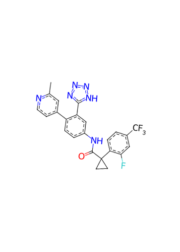 Cc1cc(-c2ccc(NC(=O)C3(c4ccc(C(F)(F)F)cc4F)CC3)cc2-c2nnn[nH]2)ccn1